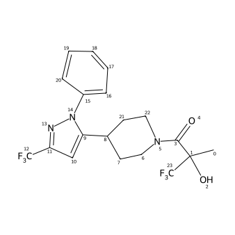 CC(O)(C(=O)N1CCC(c2cc(C(F)(F)F)nn2-c2ccccc2)CC1)C(F)(F)F